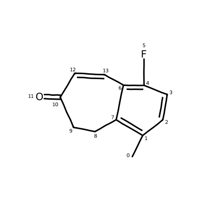 Cc1ccc(F)c2c1CCC(=O)C=C2